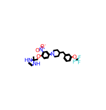 CC1(COc2ccc(N3CCC(Cc4cccc(OC(F)(F)F)c4)CC3)cc2[N+](=O)[O-])NC=CN1